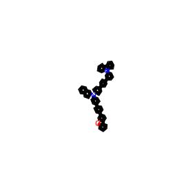 c1cc(-c2ccc(-c3ccc(N(c4ccc(-c5ccc(-c6ccc7c(c6)oc6ccccc67)cc5)cc4)c4ccc5ccccc5c4)cc3)cc2)cc(-n2c3ccccc3c3ccccc32)c1